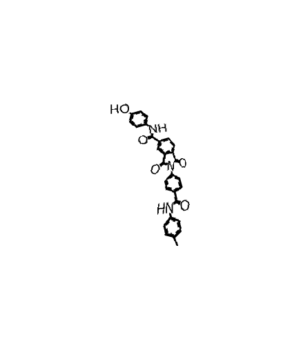 Cc1ccc(NC(=O)c2ccc(N3C(=O)c4ccc(C(=O)Nc5ccc(O)cc5)cc4C3=O)cc2)cc1